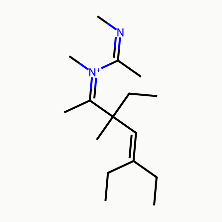 CCC(=CC(C)(CC)/C(C)=[N+](C)\C(C)=N/C)CC